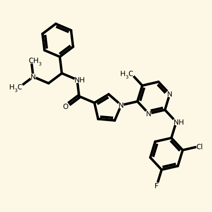 Cc1cnc(Nc2ccc(F)cc2Cl)nc1-n1ccc(C(=O)NC(CN(C)C)c2ccccc2)c1